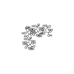 O=C(O)C(O)(C(O)P(=O)(O)O)P(=O)(O)O.O=C(O)C(O)(C(O)P(=O)(O)O)P(=O)(O)O.O=C(O)C(O)(CO)P(=O)(O)O.O=C(O)C(O)C(O)P(=O)(O)O